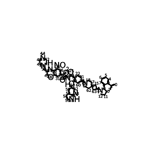 C=C(C)c1ccccc1C1CCCN1C1CC2(CCN(c3ccc(C(=O)NS(=O)(=O)c4cc5c(c([N+](=O)[O-])c4)NC(CN4CCN(C)CC4)CO5)c(Oc4cnc5[nH]ccc5c4)c3)CC2)C1